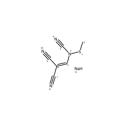 CSN(C#N)C=C(C#N)C#N.[NaH]